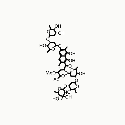 CO[C@H](C(=O)C(C)=O)[C@@H]1Cc2cc3cc(OC4C[C@@H](OC5C[C@@H](O)[C@H](O)C(C)O5)[C@H](O)C(C)O4)c(C)c(O)c3c(O)c2C(=O)[C@H]1OC1C[C@@H](OC2C[C@@H](OC3C[C@](C)(O)[C@H](O)C(C)O3)[C@@H](O)C(C)O2)[C@H](O)C(C)O1